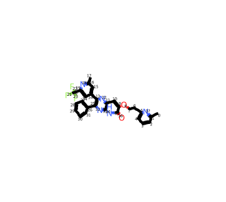 Cc1cccc(CCOc2cc3nc(-c4cc(C)nc(C(F)(F)F)c4)c(-c4ccccc4)nc3[nH]c2=O)n1